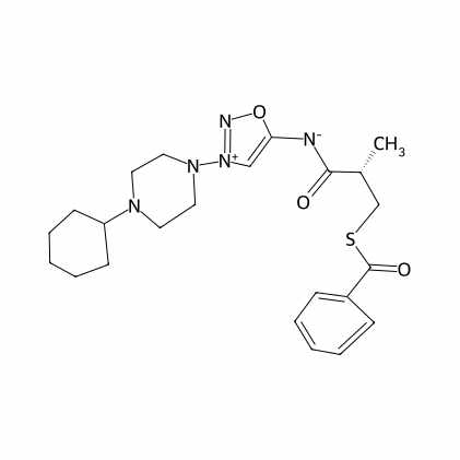 C[C@H](CSC(=O)c1ccccc1)C(=O)[N-]c1c[n+](N2CCN(C3CCCCC3)CC2)no1